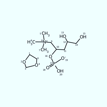 C1COCO1.C[N+](C)(C)CC(CC(O)CO)OP(=O)([O-])O